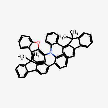 CC1(C)c2ccccc2-c2ccc(-c3ccccc3N(c3ccccc3-c3cccc4c3C(C)(C)c3ccccc3-4)c3cccc4c3oc3ccccc34)cc21